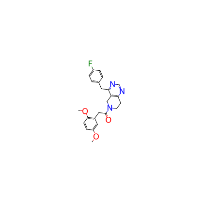 COc1ccc(OC)c(CC(=O)N2CCc3ncnc(Cc4ccc(F)cc4)c3C2)c1